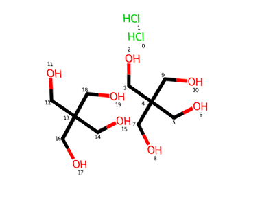 Cl.Cl.OCC(CO)(CO)CO.OCC(CO)(CO)CO